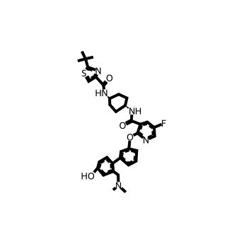 CN(C)Cc1cc(O)ccc1-c1cccc(Oc2ncc(F)cc2C(=O)N[C@H]2CC[C@@H](NC(=O)c3csc(C(C)(C)C)n3)CC2)c1